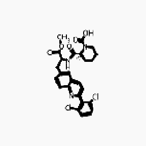 COC(=O)C(Cc1ccc2nc(-c3c(Cl)cccc3Cl)ccc2c1)NC(=O)[C@@H]1CCCCN1C(=O)O